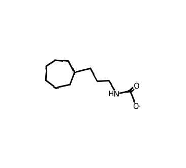 [O]C(=O)NCCCC1CCCCCC1